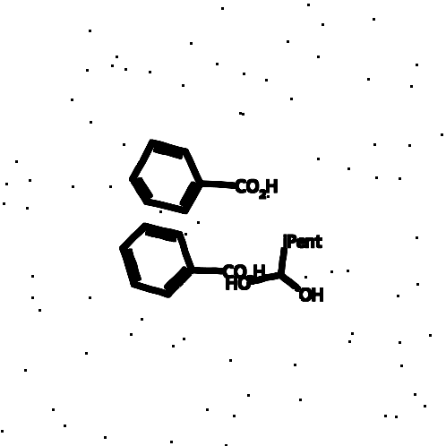 CCCC(C)C(O)O.O=C(O)c1ccccc1.O=C(O)c1ccccc1